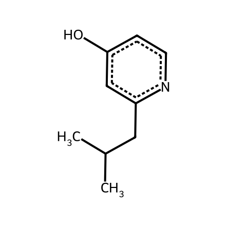 CC(C)Cc1cc(O)ccn1